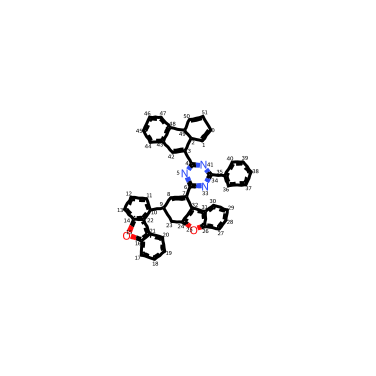 C1=CC2C(c3nc(C4=CC(c5cccc6oc7ccccc7c56)Cc5oc6ccccc6c54)nc(-c4ccccc4)n3)=Cc3ccccc3C2C=C1